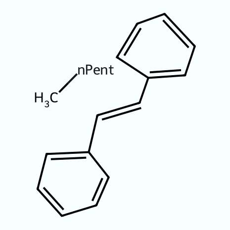 C(=Cc1ccccc1)c1ccccc1.CCCCCC